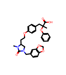 CN1C(=O)N(Cc2ccc3c(c2)OCO3)CC1CCOc1ccc(CC(C)(Oc2ccccc2)C(=O)O)cc1